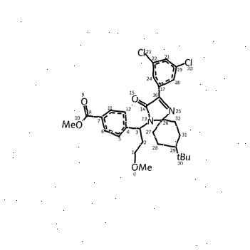 COCCC(c1ccc(C(=O)OC)cc1)N1C(=O)C(c2cc(Cl)cc(Cl)c2)=NC12CCC(C(C)(C)C)CC2